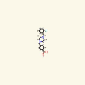 COC(=O)c1ccc(CN2C[C@@H](C)N(Cc3ccccc3F)[C@@H](C)C2)cc1